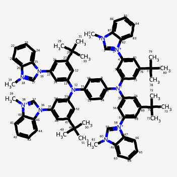 Cn1c[n+](-c2cc(N(c3ccc(N(c4cc(-n5c[n+](C)c6ccccc65)cc(C(C)(C)C)c4)c4cc(-n5c[n+](C)c6ccccc65)cc(C(C)(C)C)c4)cc3)c3cc(-[n+]4cn(C)c5ccccc54)cc(C(C)(C)C)c3)cc(C(C)(C)C)c2)c2ccccc21